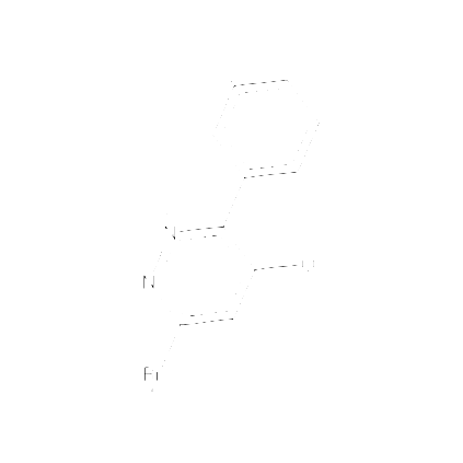 Oc1cc(Br)nnc1-c1ccccc1